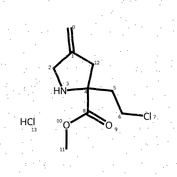 C=C1CNC(CCCl)(C(=O)OC)C1.Cl